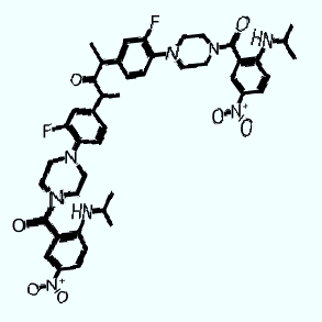 CC(C)Nc1ccc([N+](=O)[O-])cc1C(=O)N1CCN(c2ccc(C(C)C(=O)C(C)c3ccc(N4CCN(C(=O)c5cc([N+](=O)[O-])ccc5NC(C)C)CC4)c(F)c3)cc2F)CC1